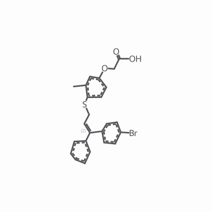 Cc1cc(OCC(=O)O)ccc1SC/C=C(/c1ccccc1)c1ccc(Br)cc1